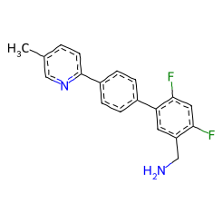 Cc1ccc(-c2ccc(-c3cc(CN)c(F)cc3F)cc2)nc1